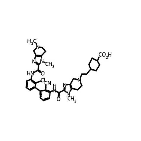 CN1CCc2c(nc(C(=O)Nc3cccc(-c4cccc(NC(=O)c5nc6c(n5C)CCN(CCC5CCC(C(=O)O)CC5)C6)c4C#N)c3Cl)n2C)C1